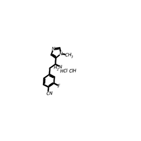 Cl.Cl.Cn1cncc1C(N)Cc1ccc(C#N)c(F)c1